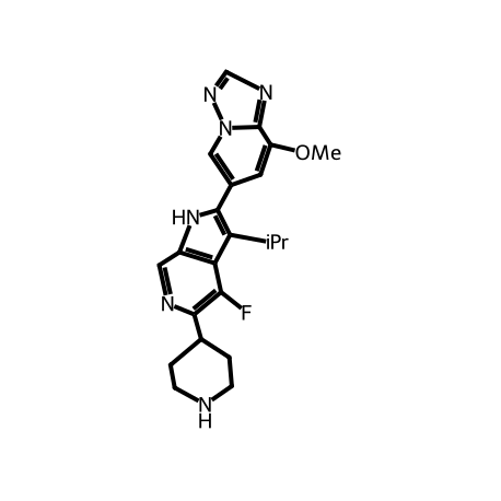 COc1cc(-c2[nH]c3cnc(C4CCNCC4)c(F)c3c2C(C)C)cn2ncnc12